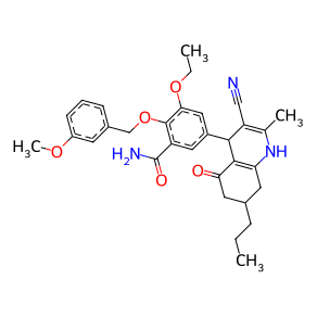 CCCC1CC(=O)C2=C(C1)NC(C)=C(C#N)C2c1cc(OCC)c(OCc2cccc(OC)c2)c(C(N)=O)c1